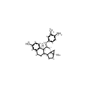 Nc1ccc(O[C@H]2C[C@]34C[C@H]3CCC4C3CCc4cc(O)ccc4[C@H]32)cc1C(F)(F)F